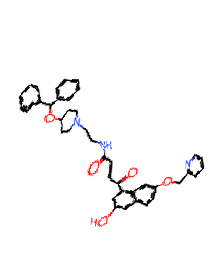 O=C(C=CC(=O)c1cc(O)cc2ccc(OCc3ccccn3)cc12)NCCN1CCC(OC(c2ccccc2)c2ccccc2)CC1